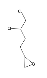 ClCC(Cl)CCC1CO1